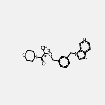 C[C@@H](OCc1cccc(Cn2c[c]c3ccncc32)c1)C(=O)N1CCOCC1